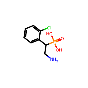 NCC(c1ccccc1Cl)P(=O)(O)O